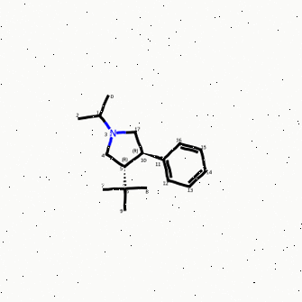 CC(C)N1C[C@@H](C(C)(C)C)[C@H](c2ccccc2)C1